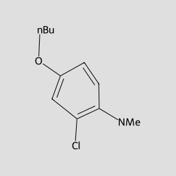 CCCCOc1ccc(NC)c(Cl)c1